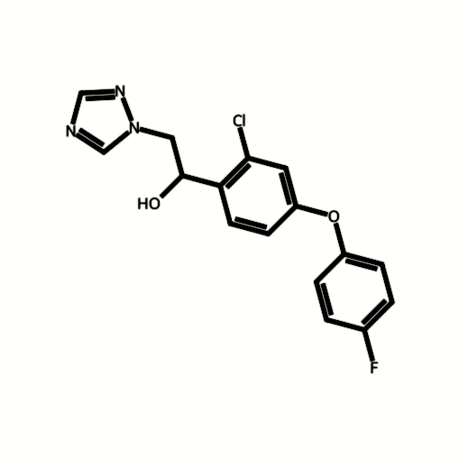 OC(Cn1cncn1)c1ccc(Oc2ccc(F)cc2)cc1Cl